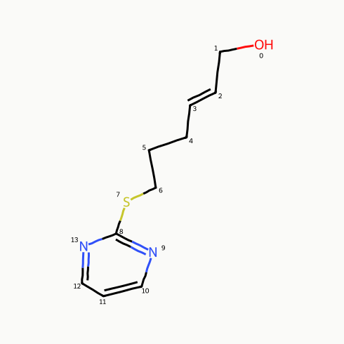 OCC=CCCCSc1ncccn1